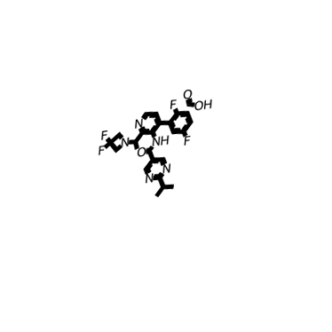 CC(C)c1ncc(C(=O)Nc2c(-c3cc(F)ccc3F)ccnc2C(C)N2CC(F)(F)C2)cn1.O=CO